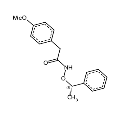 COc1ccc(CC(=O)NO[C@@H](C)c2ccccc2)cc1